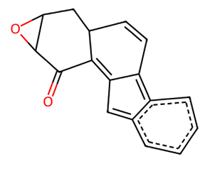 O=C1C2=C3C=c4ccccc4=C3C=CC2CC2OC12